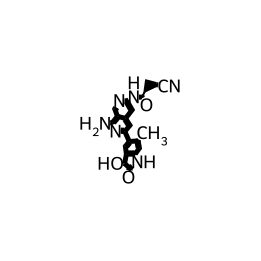 Cc1cc2c(cc1-c1cc3cc(NC(=O)[C@H]4CC4C#N)ncc3c(N)n1)C(O)C(=O)N2